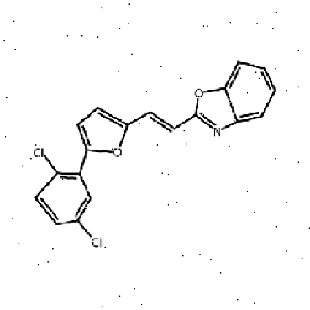 Clc1ccc(Cl)c(-c2ccc(/C=C/c3nc4ccccc4o3)o2)c1